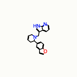 C1=CCN(Cc2c[nH]c3ncccc23)C(c2ccc3occc3c2)C1